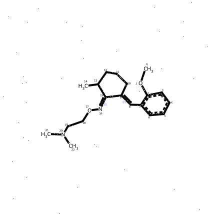 COc1ccccc1/C=C1\CCCC(C)\C1=N/OCCN(C)C